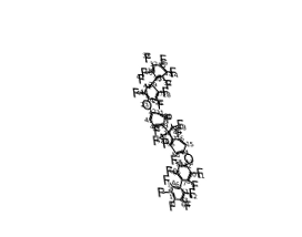 Fc1c(F)c(F)c(-c2c(F)c(F)c(Oc3ccc(C(c4ccc(Oc5c(F)c(F)c(-c6c(F)c(F)c(F)c(F)c6F)c(F)c5F)cc4)(C(F)(F)F)C(F)(F)F)cc3)c(F)c2F)c(F)c1F